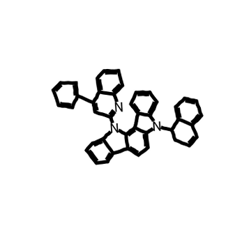 C1=Cc2ccccc2C(n2c3ccccc3c3c4c(ccc32)c2ccccc2n4-c2cc(-c3ccccc3)c3ccccc3n2)C1